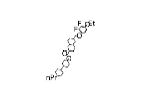 CCCC1CCC(C2CCC(OC(=O)C3CCC4CC(COc5ccc(OCC)c(F)c5F)CCC4C3)CC2)CC1